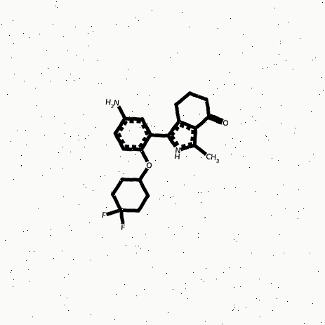 Cc1[nH]c(-c2cc(N)ccc2OC2CCC(F)(F)CC2)c2c1C(=O)CCC2